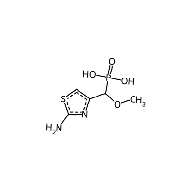 COC(c1csc(N)n1)P(=O)(O)O